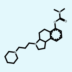 CN(C)C(=O)Oc1cccc2c1CCC1C2CCN1CCCN1CCCCC1